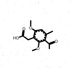 COc1cc(C)c(C(C)=O)c(OC)c1CC(=O)O